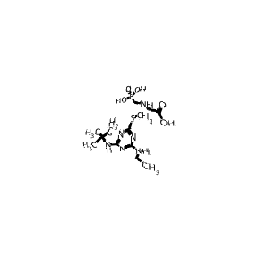 CCNc1nc(NC(C)(C)C)nc(SC)n1.O=C(O)CNCP(=O)(O)O